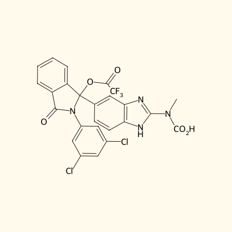 CN(C(=O)O)c1nc2cc(C3(OC(=O)C(F)(F)F)c4ccccc4C(=O)N3c3cc(Cl)cc(Cl)c3)ccc2[nH]1